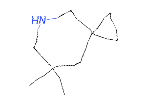 CC1(C)CNCC2(CC2)C1